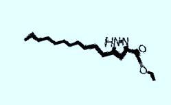 CCCCCCCCCCCc1cc(C(=O)OCC)n[nH]1